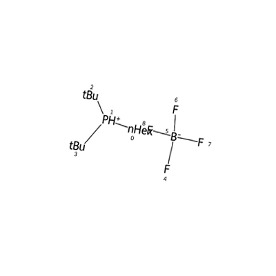 CCCCCC[PH+](C(C)(C)C)C(C)(C)C.F[B-](F)(F)F